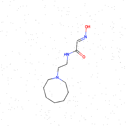 O=C(C=NO)NCCN1CCCCCCC1